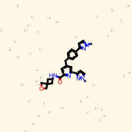 Cn1ccc(-c2ccc(Cc3cc(C(=O)NC4CC5(COC5)C4)nc(-c4ccn(C)n4)c3)cc2)n1